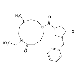 CN1CCN(CC(=O)O)C(=O)CCCN(C(=O)C2CC(=O)N(Cc3ccccc3)C2)CC1